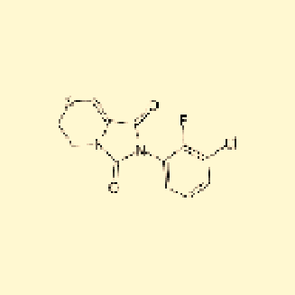 O=C1C2=CSCCN2C(=O)N1c1cccc(Cl)c1F